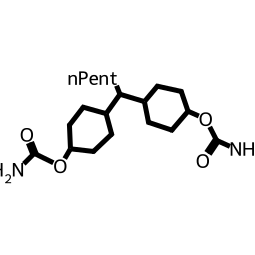 CCCCCC(C1CCC(OC(N)=O)CC1)C1CCC(OC(N)=O)CC1